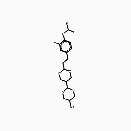 CCCC1COC(C2COC(CCc3ccc(OC(F)F)c(F)c3)OC2)OC1